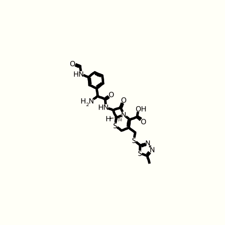 Cc1nnc(SCC2=C(C(=O)O)N3C(=O)C(NC(=O)C(N)c4cccc(NC=O)c4)[C@@H]3SC2)s1